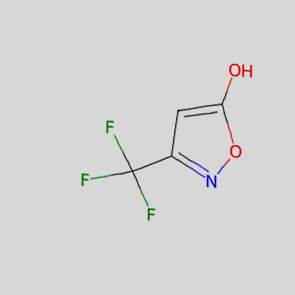 Oc1cc(C(F)(F)F)no1